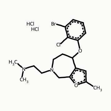 Cc1cc2c(o1)CN(CCN(C)C)CCC2Oc1cccc(Br)c1Cl.Cl.Cl